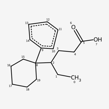 CCC(CCC(=O)O)C1(c2ccccc2)CCCCC1